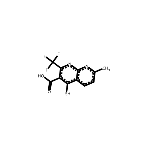 Cc1ccc2c(S)c(C(=O)O)c(C(F)(F)F)nc2n1